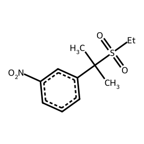 CCS(=O)(=O)C(C)(C)c1cccc([N+](=O)[O-])c1